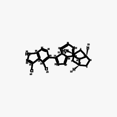 N[C@@H]1C[C@H]2CC[C@@H](C1)N2c1nccn2c(-c3ccc4[nH]nc(Cl)c4c3Cl)ncc12